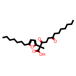 CCCCCCCC(=O)CCC(=O)C(C)(C(=O)O)c1ccc(CCCCCCC)o1